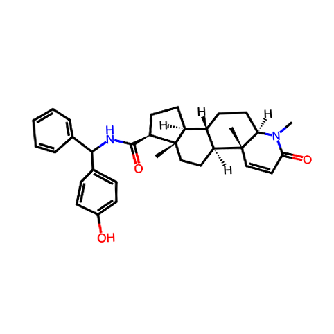 CN1C(=O)C=C[C@]2(C)[C@H]3CC[C@]4(C)[C@@H](C(=O)NC(c5ccccc5)c5ccc(O)cc5)CC[C@H]4[C@@H]3CC[C@@H]12